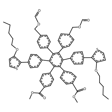 CCCCCOc1ccsc1-c1ccc(-c2c(-c3ccc(COC=O)cc3)c(-c3ccc(COC=O)cc3)c(-c3ccc(-c4sccc4OCCCCC)cc3)c(-c3ccc(C(=O)OC)cc3)c2-c2ccc(C(=O)OC)cc2)cc1